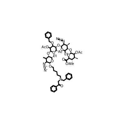 CCC1O[C@H](O[C@H]2C(OCc3ccccc3)C(OC(C)=O)[C@H](O[C@H]3C(C)C(N=[N+]=[N-])[C@@H](OCCCCCN(CC(=O)c4ccccc4)Cc4ccccc4)O[C@H]3CC)O[C@H]2C(C)=O)C(N=[N+]=[N-])[C@@H](C)[C@@H]1O[C@@H]1OC(C(=O)OC)[C@@H](C)[C@H](C)C1OC(C)=O